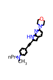 CCCN(C)c1ccc(C#Cc2cc3ccc(N4CCOCC4)nc3[nH]2)cc1